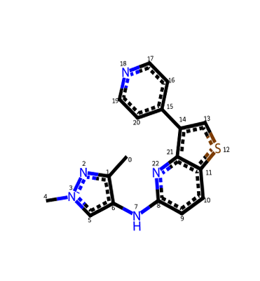 Cc1nn(C)cc1Nc1ccc2scc(-c3ccncc3)c2n1